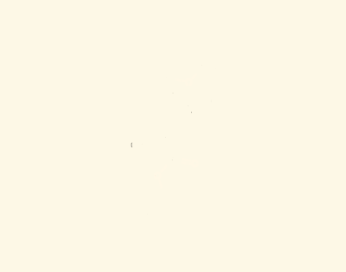 CCOC(=O)C(C)(CC(C)C)C(C)(CC)c1ccccc1OC